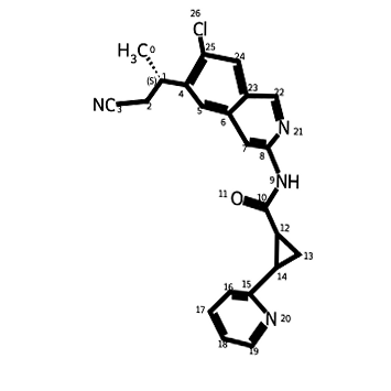 C[C@@H](CC#N)c1cc2cc(NC(=O)C3CC3c3ccccn3)ncc2cc1Cl